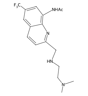 CC(=O)Nc1cc(C(F)(F)F)cc2ccc(CNCCN(C)C)nc12